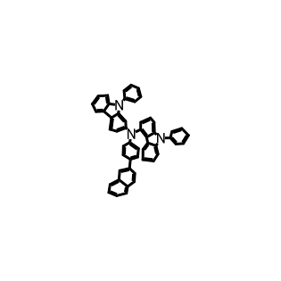 c1ccc(-n2c3ccccc3c3ccc(N(c4ccc(-c5ccc6ccccc6c5)cc4)c4cccc5c4c4ccccc4n5-c4ccccc4)cc32)cc1